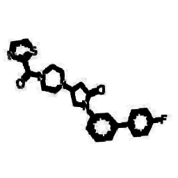 O=C(c1nccs1)N1CCN(C2CC(=O)N(c3cccc(-c4ccc(F)cc4)c3)C2)CC1